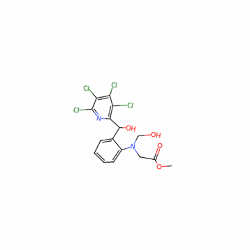 COC(=O)CN(CO)c1ccccc1C(O)c1nc(Cl)c(Cl)c(Cl)c1Cl